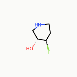 O[C@@H]1CNCC[C@H]1F